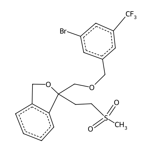 CS(=O)(=O)CCC1(COCc2cc(Br)cc(C(F)(F)F)c2)OCc2ccccc21